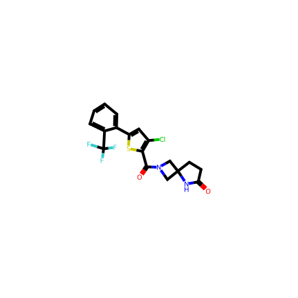 O=C1CCC2(CN(C(=O)c3sc(-c4ccccc4C(F)(F)F)cc3Cl)C2)N1